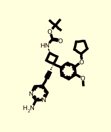 COc1ccc([C@]2(C#Cc3cnc(N)nc3)C[C@@H](NC(=O)OC(C)(C)C)C2)cc1OC1CCCC1